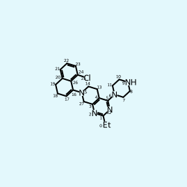 CCc1nc2c(c(N3CCNCC3)n1)CCN(C1=CCCc3cccc(Cl)c31)C2